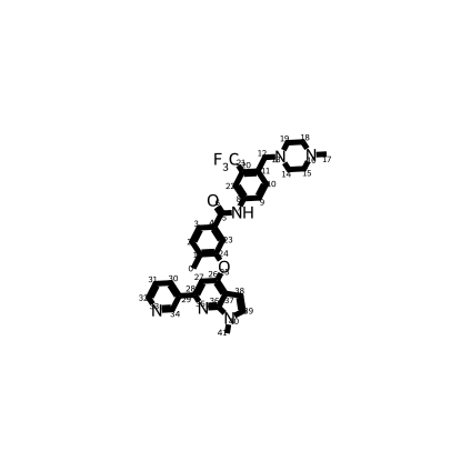 Cc1ccc(C(=O)Nc2ccc(CN3CCN(C)CC3)c(C(F)(F)F)c2)cc1Oc1cc(-c2cccnc2)nc2c1ccn2C